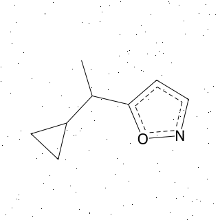 CC(c1ccno1)C1CC1